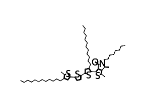 C=C1c2c(C)sc(-c3sc(-c4ccc(-c5cc(CCCCCCCCCCCC)c(C)s5)s4)cc3CCCCCCCCCCCC)c2C(=O)N1CCCCCCCC